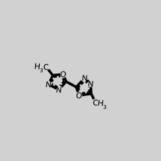 Cc1nnc(-c2nnc(C)o2)o1